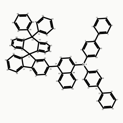 c1ccc(-c2ccc(N(c3ccc(-c4ccccc4)cc3)c3ccc(-c4ccc5c(c4)C4(c6ccccc6-5)c5ccccc5C(c5ccccc5)(c5ccccc5)c5ccccc54)c4ccccc34)cc2)cc1